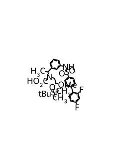 COC(CN(C(=O)O)C(C)c1cccc(NS(=O)(=O)c2ccc(-c3ccc(F)cc3F)cc2)c1)O[Si](C)(C)C(C)(C)C